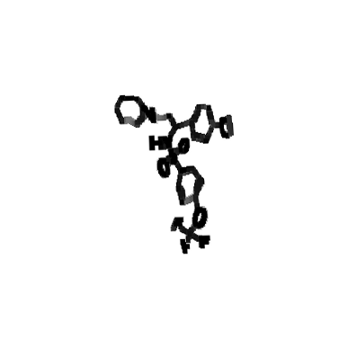 O=S(=O)(NC(CN1CCCCC1)c1ccc(Cl)cc1)c1ccc(OC(F)(F)F)cc1